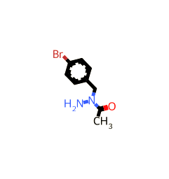 CC(=O)N(N)Cc1ccc(Br)cc1